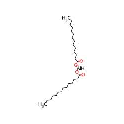 CCCCCCCCCCCCCC(=O)[O][AlH][O]C(=O)CCCCCCCCCCCCC